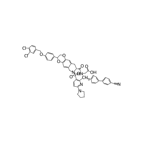 Cc1nc(N2CCCC2)ccc1S(=O)(=O)N1Cc2cc3c(cc2C[C@H]1C(=O)N[C@@H](Cc1ccc(-c2ccc(C#N)cc2)cc1)C(=O)O)OCC(c1ccc(OCc2ccc(Cl)c(Cl)c2)cc1)O3